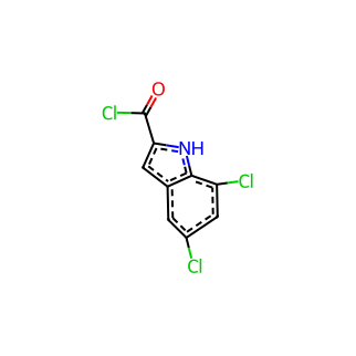 O=C(Cl)c1cc2cc(Cl)cc(Cl)c2[nH]1